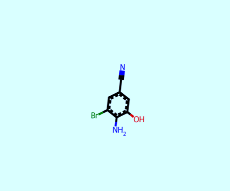 N#Cc1cc(O)c(N)c(Br)c1